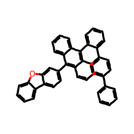 c1ccc(-c2ccc(-c3ccccc3-c3c4ccccc4c(-c4ccc5c(c4)oc4ccccc45)c4ccccc34)cc2)cc1